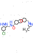 Cc1cnn(Cc2ccc3c(c2)c2oc3c3ccc(C(=O)NCc4n[nH]c5ccc(Cl)cc45)cc32)c1